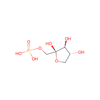 O=P(O)(O)OC[C@@]1(O)OC[C@@H](O)[C@@H]1O